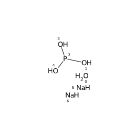 O.OP(O)O.[NaH].[NaH]